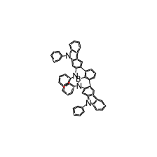 c1ccc(N2B3c4c(cccc4-c4cc5c6ccccc6n(-c6ccccc6)c5cc4N3c3ccccc3)-c3cc4c5ccccc5n(-c5ccccc5)c4cc32)cc1